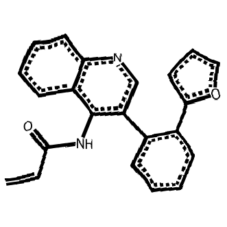 C=CC(=O)Nc1c(-c2ccccc2-c2ccco2)cnc2ccccc12